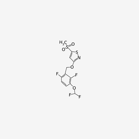 CS(=O)(=O)c1cc(OCc2c(F)ccc(OC(F)F)c2F)ns1